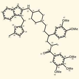 COc1ccc(C(CCN2CCC(Nc3nc4ccccc4n3Cc3ccc(C)o3)CC2)CN(C)C(=O)c2cc(OC)c(OC)c(OC)c2)cc1OC